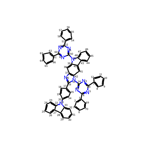 c1ccc(-c2nc(-c3ccccc3)nc(-n3c(-c4ccc(-n5c6ccccc6c6ccccc65)cc4)nc4cc5c(cc43)c3ccccc3n5-c3nc(-c4ccccc4)nc(-c4ccccc4)n3)n2)cc1